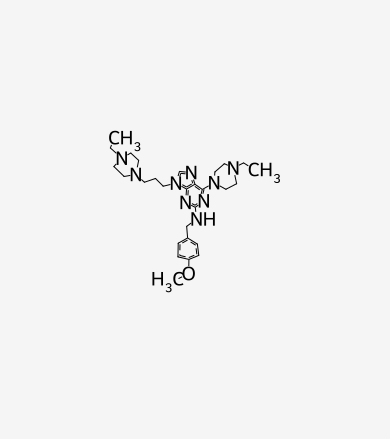 CCN1CCN(CCCn2cnc3c(N4CCN(CC)CC4)nc(NCc4ccc(OC)cc4)nc32)CC1